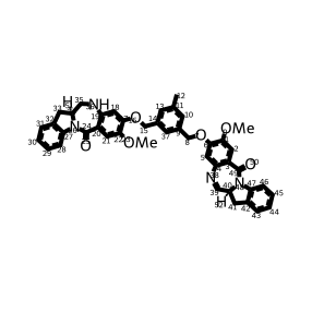 COc1cc2c(cc1OCc1cc(C)cc(COc3cc4c(cc3OC)C(=O)N3c5ccccc5C[C@H]3CN4)c1)N=C[C@@H]1Cc3ccccc3N1C2=O